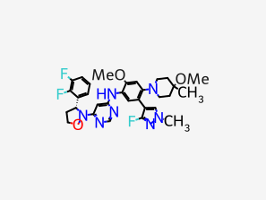 COc1cc(N2CCC(C)(OC)CC2)c(-c2cn(C)nc2F)cc1Nc1cc(N2OCC[C@@H]2c2cccc(F)c2F)ncn1